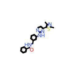 Cc1nc(C)c(-c2ccnc(Nc3cccc(CNC(=O)c4ccccc4)c3)n2)s1